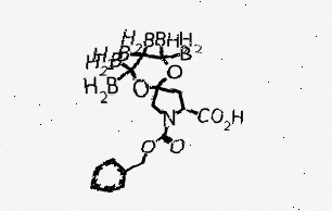 BC1(B)OC2(C[C@@H](C(=O)O)N(C(=O)OCc3ccccc3)C2)OC(B)(B)C1(B)B